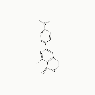 Cc1nc(-c2ccc(N(C)C)cc2)cc2c1C(=O)OCC2